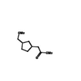 COCC1CCC(CC(=O)OC)C1